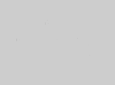 CCCOC(OC)c1ccc(F)cc1